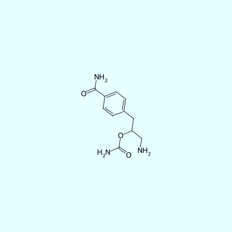 NCC(Cc1ccc(C(N)=O)cc1)OC(N)=O